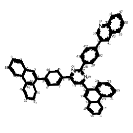 C1=CC2C=C(C3=CC=C(c4cc(C5=CC6C=CC=CC6c6ccccc65)nc(-c5ccc(-c6cnc7ccccc7c6)cc5)n4)CC3)C3=C(C=CCC3)C2C=C1